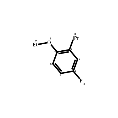 [CH2]C(C)c1cc(F)ccc1OCC